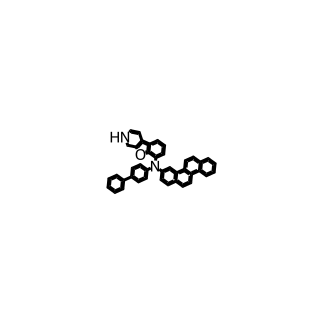 C1=Cc2c(oc3c(N(c4ccc(-c5ccccc5)cc4)c4ccc5ccc6c7ccccc7ccc6c5c4)cccc23)CN1